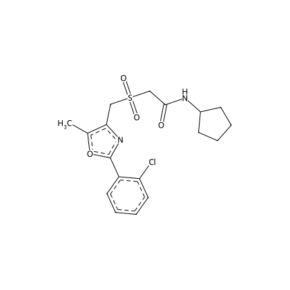 Cc1oc(-c2ccccc2Cl)nc1CS(=O)(=O)CC(=O)NC1CCCC1